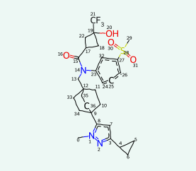 Cn1nc(C2CC2)cc1C12CCC(CN(C(=O)C3CC(O)(C(F)(F)F)C3)c3cccc(S(C)(=O)=O)c3)(CC1)CC2